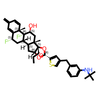 C=C1C=C[C@@]2(C)C(=C1)[C@@H](F)C[C@H]1[C@@H]3C[C@H]4O[C@@H](c5cc(Cc6cccc(NC(C)(C)C)c6)cs5)O[C@@]4(C(=O)CC)[C@@]3(C)C[C@H](O)[C@@]12F